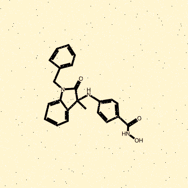 CC1(Nc2ccc(C(=O)NO)cc2)C(=O)N(Cc2ccccc2)c2ccccc21